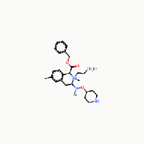 CCOC(=O)CC[N+]1(C)C(C(=O)OCc2ccccc2)c2ccc(C)cc2CC1N(OC1CCNCC1)C(C)=O